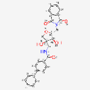 O=C(NC[C@]1(O)CO[C@H](CN2C(=O)c3ccccc3C2=O)[C@H]1O)c1ccc(-c2ccccc2)cc1